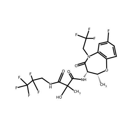 C[C@H]1Oc2ccc(F)cc2N(CC(F)(F)F)C(=O)[C@H]1NC(=O)C(C)(O)C(=O)NCC(F)(F)C(F)(F)F